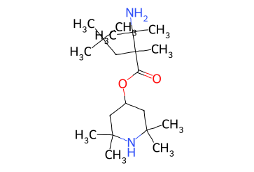 CC(C)(C)CC(C)(C(=O)OC1CC(C)(C)NC(C)(C)C1)C(C)(C)N